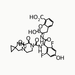 NC1(CN2CCN(C(=O)N[C@H](C(=O)N[C@H]3Cc4cccc(C(=O)O)c4OB3O)c3c(F)cc(O)cc3F)C(=O)C2=O)CC1